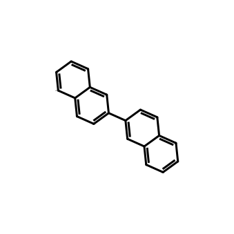 [c]1cccc2cc(-c3ccc4ccccc4c3)ccc12